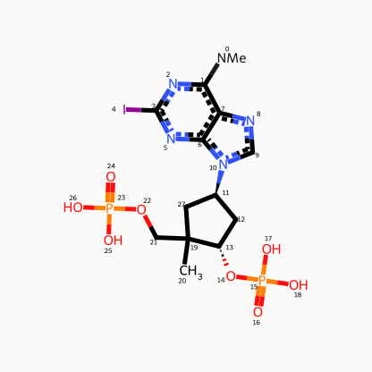 CNc1nc(I)nc2c1ncn2[C@H]1C[C@H](OP(=O)(O)O)C(C)(COP(=O)(O)O)C1